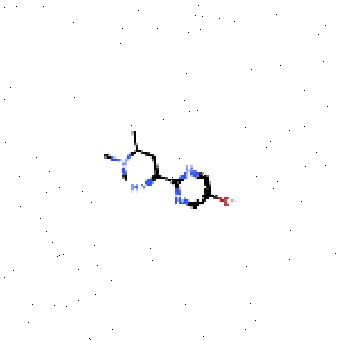 CC(CC(=N)c1ncc(Br)cn1)N(C)C